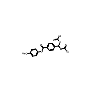 CCC(=O)OC(OC(=O)CC)c1ccc(C(=O)Oc2ccc(OC)cc2)cc1